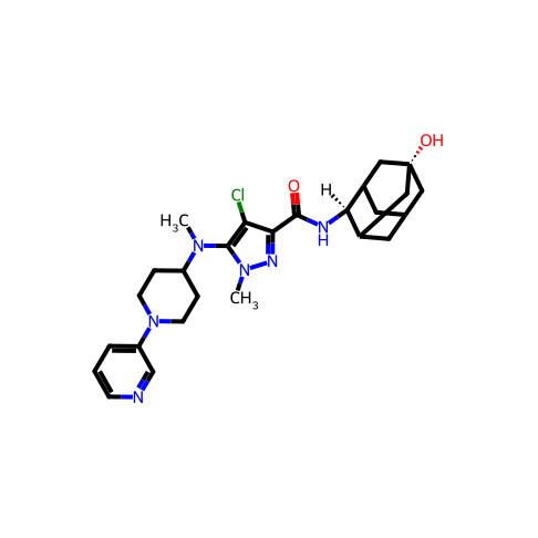 CN(c1c(Cl)c(C(=O)N[C@H]2C3CC4CC2C[C@](O)(C4)C3)nn1C)C1CCN(c2cccnc2)CC1